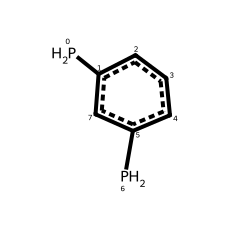 Pc1cccc(P)c1